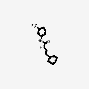 O=C(NC=Cc1ccccc1)Nc1cccc(C(F)(F)F)c1